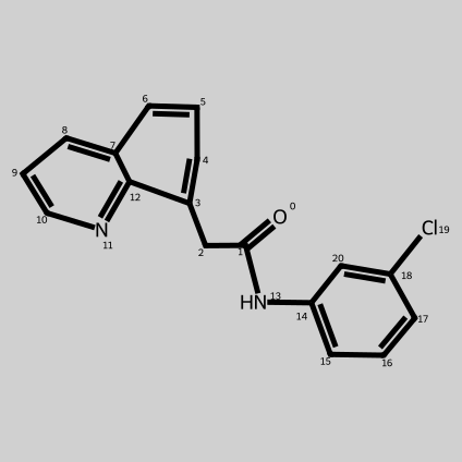 O=C(Cc1cccc2cccnc12)Nc1cccc(Cl)c1